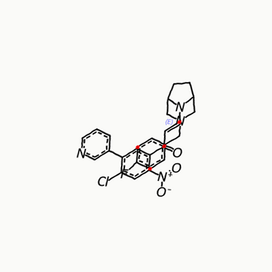 O=C(/C=C/N1C2CCC1CN(Cc1ccc(F)cc1)C2)c1cc(-c2cccnc2)c(Cl)cc1[N+](=O)[O-]